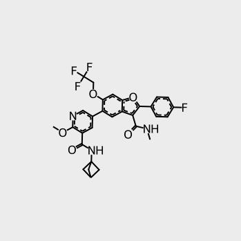 CNC(=O)c1c(-c2ccc(F)cc2)oc2cc(OCC(F)(F)F)c(-c3cnc(OC)c(C(=O)NC45CC(C4)C5)c3)cc12